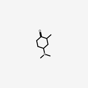 CC1CC(N(C)C)CCC1=O